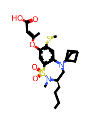 CCCC[C@@H]1CN(C23CC(C2)C3)c2cc(SC)c(O/C(C)=C/C(=O)O)cc2S(=O)(=O)N1C